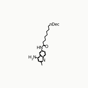 CCCCCCCCCCCCCCCCCC(=O)Nc1ccc2nc(C)cc(N)c2c1